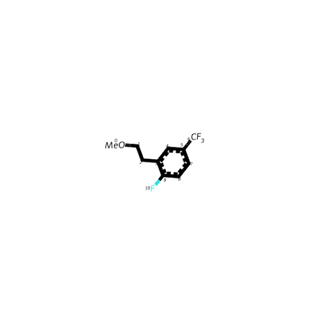 COCCc1cc(C(F)(F)F)ccc1F